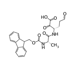 C[C@H](NC(=O)OCC1c2ccccc2-c2ccccc21)C(=O)N[C@@H](CCC=O)C(=O)C(=O)O